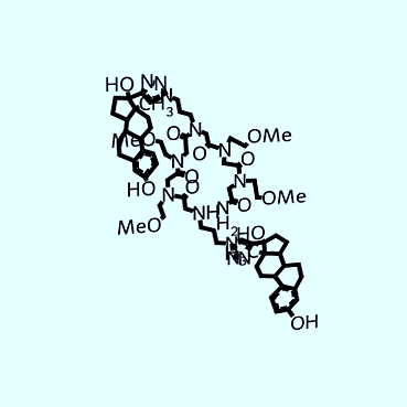 COCCN(CC(N)=O)C(=O)CN(CCOC)C(=O)CN(CCCn1cc(C2(O)CCC3C4CCc5cc(O)ccc5C4CCC32C)nn1)C(=O)CN(CCOC)C(=O)CN(CCOC)C(=O)CNCCCn1cc(C2(O)CCC3C4CCc5cc(O)ccc5C4CCC32C)nn1